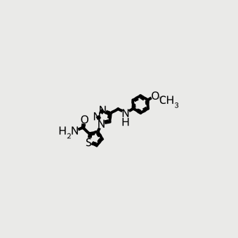 COc1ccc(NCc2cn(-c3ccsc3C(N)=O)nn2)cc1